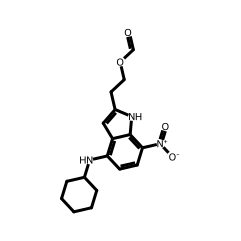 O=COCCc1cc2c(NC3CCCCC3)ccc([N+](=O)[O-])c2[nH]1